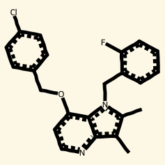 Cc1c(C)n(Cc2ccccc2F)c2c(OCc3ccc(Cl)cc3)ccnc12